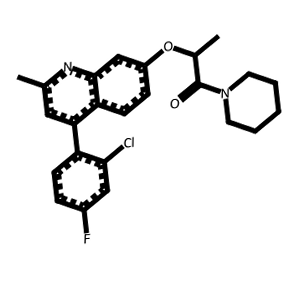 Cc1cc(-c2ccc(F)cc2Cl)c2ccc(OC(C)C(=O)N3CCCCC3)cc2n1